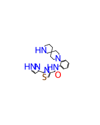 O=C(Nc1ccccc1N1CCC2(CCCNC2)CC1)c1csc(-c2cc[nH]n2)n1